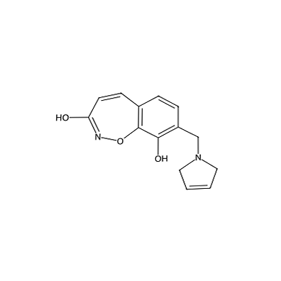 OC1=NOc2c(ccc(CN3CC=CC3)c2O)C=C1